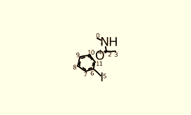 CNC(C)=O.Ic1ccccc1